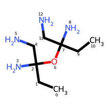 CCC(N)(CN)OC(N)(CC)CN